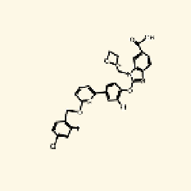 O=C(O)c1ccc2nc(Oc3ccc(-c4cccc(OCc5ccc(Cl)cc5F)n4)cc3Cl)n(C[C@@H]3CCO3)c2c1